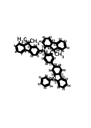 CC1(C)c2ccccc2-c2ccc(N(c3ccc(-c4ccc5c6ccccc6n(-c6ccccc6)c5c4)cc3)c3cccc4c3C(C)(C)c3ccccc3-4)cc21